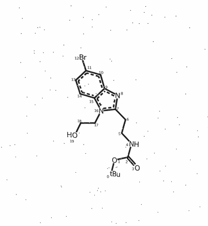 CC(C)(C)OC(=O)NCCc1nc2cc(Br)ccc2n1CCO